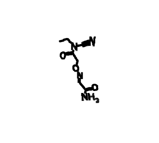 CCN(C#N)C(=O)CON=CC(N)=O